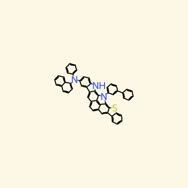 c1ccc(-c2cccc(-n3c4c5[nH]c6ccc(N(c7ccccc7)c7cccc8ccccc78)cc6c5cc5ccc6cc7c8ccccc8sc7c3c6c54)c2)cc1